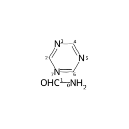 NC=O.c1ncncn1